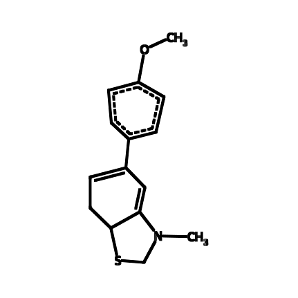 COc1ccc(C2=CCC3SCN(C)C3=C2)cc1